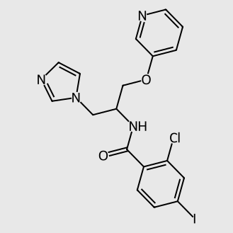 O=C(NC(COc1cccnc1)Cn1ccnc1)c1ccc(I)cc1Cl